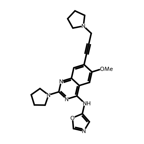 COc1cc2c(Nc3cnco3)nc(N3CCCC3)nc2cc1C#CCN1CCCC1